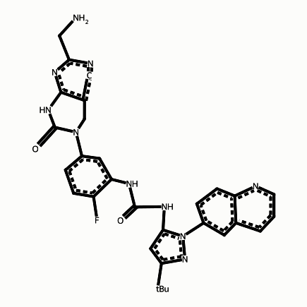 CC(C)(C)c1cc(NC(=O)Nc2cc(N3Cc4cnc(CN)nc4NC3=O)ccc2F)n(-c2ccc3ncccc3c2)n1